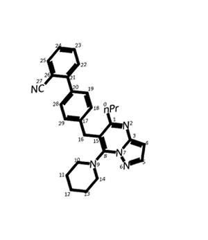 CCCc1nc2ccnn2c(N2CCCCC2)c1Cc1ccc(-c2ccccc2C#N)cc1